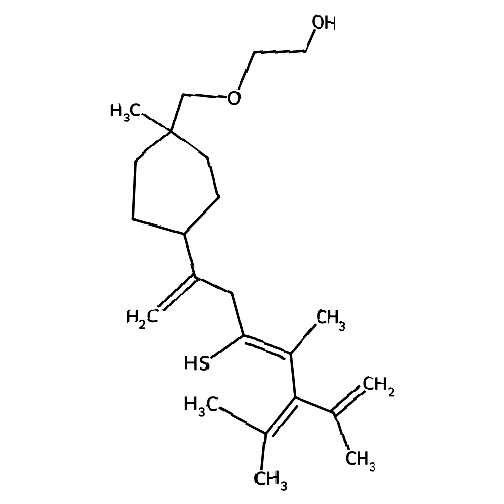 C=C(C)C(=C(C)C)/C(C)=C(\S)CC(=C)C1CCC(C)(COCCO)CC1